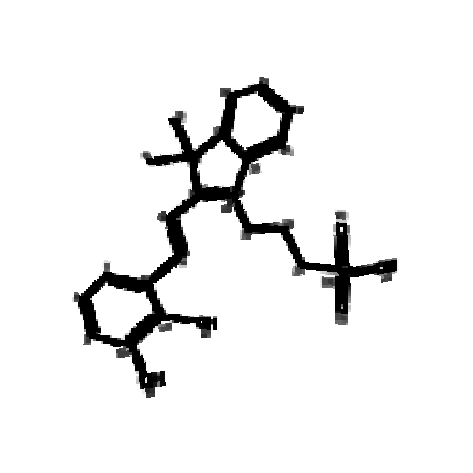 CC1(C)C(/C=C/c2cccc(O)c2O)=[N+](CCCS(=O)(=O)O)c2ccccc21